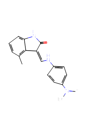 CCN(CC)c1ccc(NC=C2C(=O)Nc3cccc(C)c32)cc1